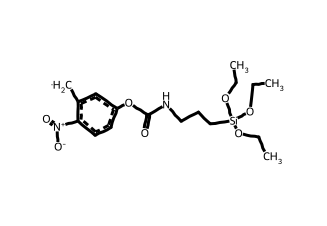 [CH2]c1cc(OC(=O)NCCC[Si](OCC)(OCC)OCC)ccc1[N+](=O)[O-]